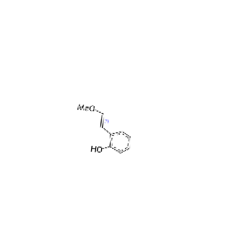 CO/C=C/c1ccccc1O